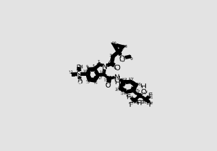 COC1(CC(=O)N2Cc3cc(S(C)(=O)=O)ccc3C2C(=O)Nc2ccc(C(O)(C(F)(F)F)C(F)(F)F)cc2)CC1